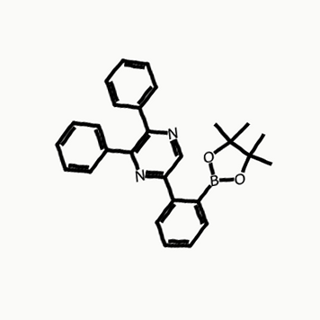 CC1(C)OB(c2ccccc2-c2cnc(-c3ccccc3)c(-c3ccccc3)n2)OC1(C)C